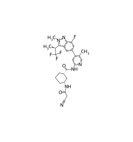 Cc1cnc(NC(=O)[C@H]2CCC[C@@H](NC(=O)CC#N)C2)cc1-c1cc(F)c2nn(C)c([C@H](C)C(F)(F)F)c2c1